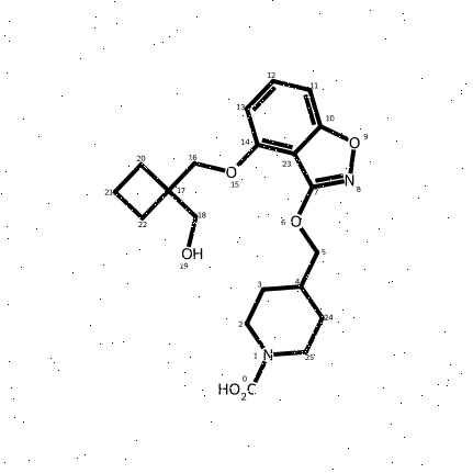 O=C(O)N1CCC(COc2noc3cccc(OCC4(CO)CCC4)c23)CC1